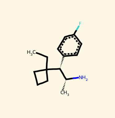 CCC1([C@H](c2ccc(F)cc2)[C@@H](C)N)CCC1